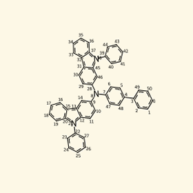 c1ccc(-c2ccc(N(c3ccc4c(c3)c3ccccc3n4-c3ccccc3)c3ccc4c5ccccc5n(-c5ccccc5)c4c3)cc2)cc1